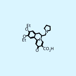 CCOc1cc2c(cc1OCC)-c1cc(=O)c(C(=O)O)cn1C(CN1CCCC1)C2